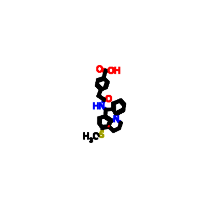 CSc1ccc(C(NC(=O)Cc2ccc(C(=O)O)cc2)c2ccccc2N2CCCCC2)cc1